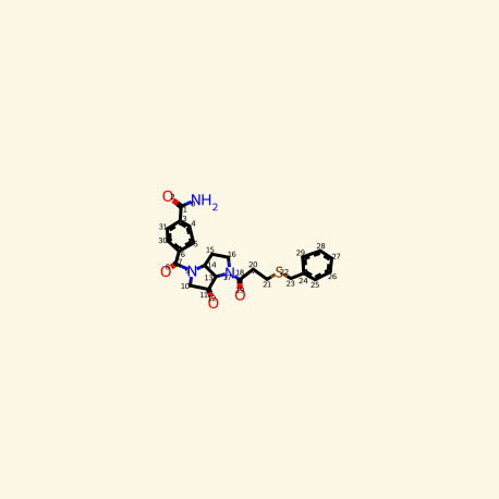 NC(=O)c1ccc(C(=O)N2CC(=O)C3C2CCN3C(=O)[CH]CSCc2ccccc2)cc1